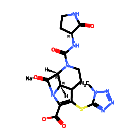 Cn1nnnc1SC1=C(C(=O)[O-])N2C(=O)[C@@H]3[C@H]2C1CCN3C(=O)N[C@H]1CCNC1=O.[Na+]